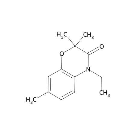 CCN1C(=O)C(C)(C)Oc2cc(C)ccc21